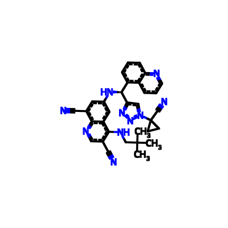 CC(C)(C)CNc1c(C#N)cnc2c(C#N)cc(N[C@H](c3cn(C4(C#N)CC4)nn3)c3cccc4ncccc34)cc12